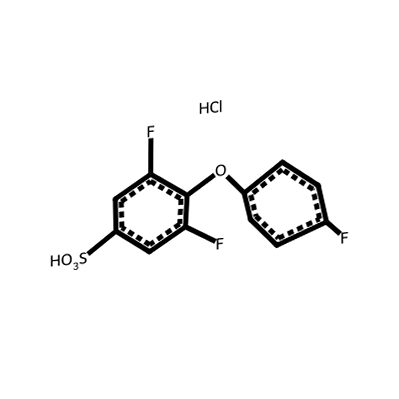 Cl.O=S(=O)(O)c1cc(F)c(Oc2ccc(F)cc2)c(F)c1